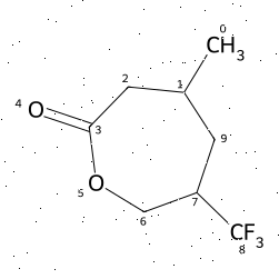 CC1CC(=O)OCC(C(F)(F)F)C1